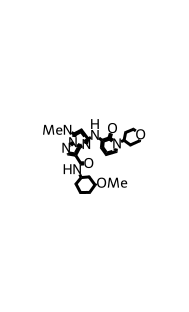 CNc1cc(Nc2cccn(C3CCOCC3)c2=O)nc2c(C(=O)NC3CCC[C@@H](OC)C3)cnn12